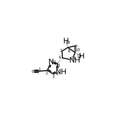 C#Cc1c[nH]c([C@@H]2C[C@H]3C[C@H]3N2)n1